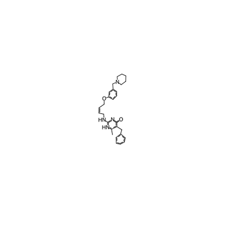 Cc1[nH]c(NC/C=C\COc2cccc(CN3CCCCC3)c2)nc(=O)c1Cc1ccccc1